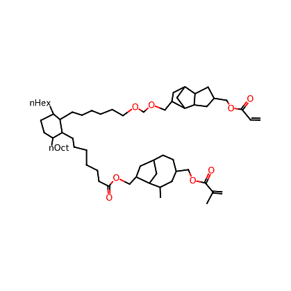 C=CC(=O)OCC1CC2C3CC(COCOCCCCCCC4C(CCCCCC)CCC(CCCCCCCC)C4CCCCCCC(=O)OCC4CC5CCC(COC(=O)C(=C)C)CC(C)C4C5)C(C3)C2C1